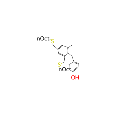 CCCCCCCCSCc1cc(C)c(Cc2ccc(O)cc2)c(CSCCCCCCCC)c1